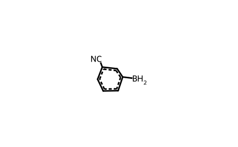 Bc1cccc(C#N)c1